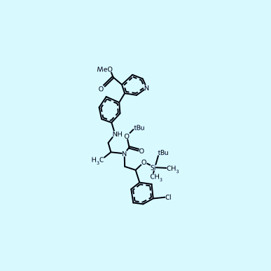 COC(=O)c1ccncc1-c1cccc(NCC(C)N(CC(O[Si](C)(C)C(C)(C)C)c2cccc(Cl)c2)C(=O)OC(C)(C)C)c1